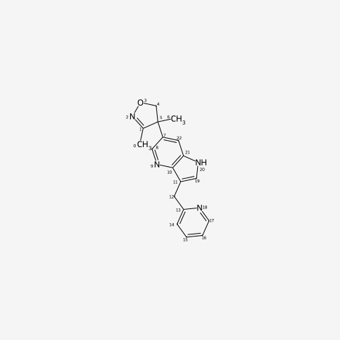 CC1=NOCC1(C)c1cnc2c(Cc3ccccn3)c[nH]c2c1